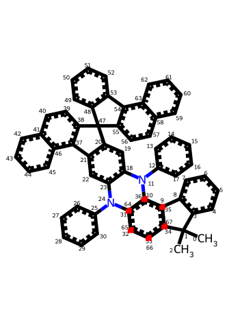 CC1(C)c2ccccc2-c2c(N(c3ccccc3)c3cc4c(cc3N(c3ccccc3)c3ccccc3)-c3c(ccc5ccccc35)C43c4ccccc4-c4c3ccc3ccccc43)cccc21